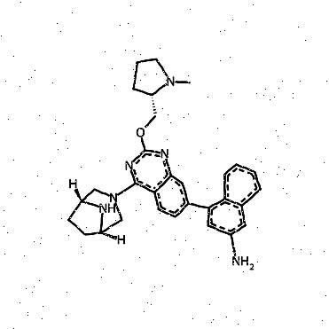 CN1CCC[C@H]1COc1nc(N2C[C@H]3CC[C@@H](C2)N3)c2ccc(-c3cc(N)cc4ccccc34)cc2n1